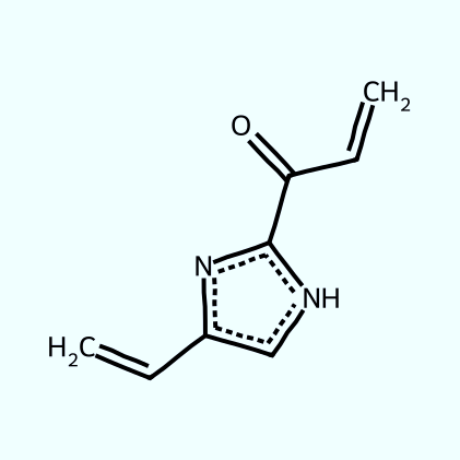 C=CC(=O)c1nc(C=C)c[nH]1